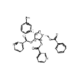 CC(=O)c1ccc[n+]([C@@H]2O[C@H](COC(=O)c3cccnc3)[C@@H](OC(=O)c3cccnc3)[C@H]2OC(=O)c2cccnc2)c1